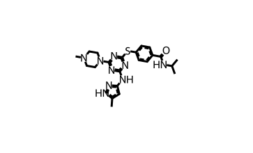 Cc1cc(Nc2nc(Sc3ccc(C(=O)NC(C)C)cc3)nc(N3CCN(C)CC3)n2)n[nH]1